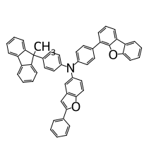 CC1(c2ccc(N(c3ccc(-c4cccc5c4oc4ccccc45)cc3)c3ccc4oc(-c5ccccc5)cc4c3)cc2)c2ccccc2-c2ccccc21